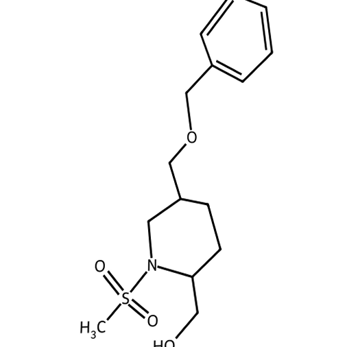 CS(=O)(=O)N1CC(COCc2ccccc2)CCC1CO